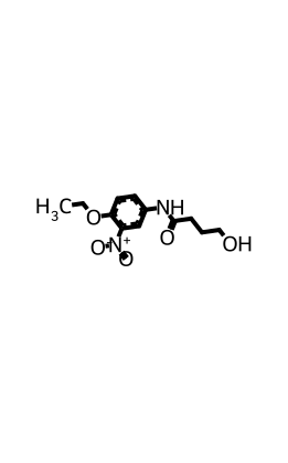 CCOc1ccc(NC(=O)CCCO)cc1[N+](=O)[O-]